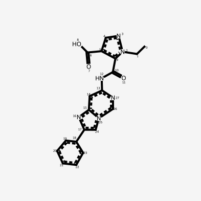 CCn1ncc(C(=O)O)c1C(=O)Nc1cc2nc(-c3ccccc3)cn2cn1